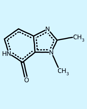 Cc1nc2cc[nH]c(=O)c2n1C